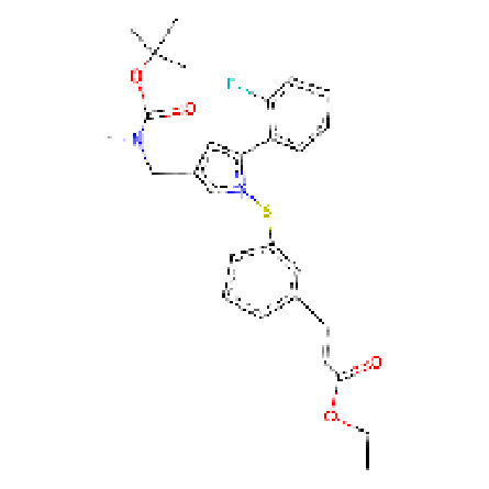 CCOC(=O)/C=C/c1cccc(Sn2cc(CN(C)C(=O)OC(C)(C)C)cc2-c2ccccc2F)c1